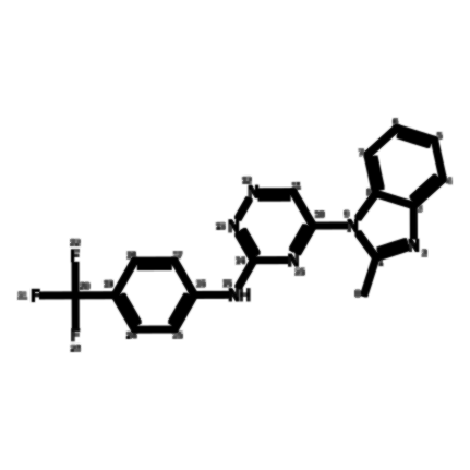 Cc1nc2ccccc2n1-c1cnnc(Nc2ccc(C(F)(F)F)cc2)n1